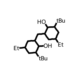 CCC1CC(CC2CC(CC)CC(C(C)(C)C)C2O)C(O)C(C(C)(C)C)C1